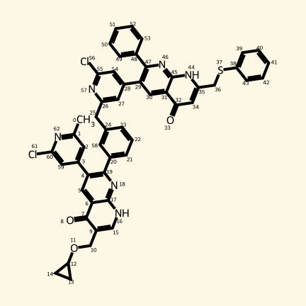 Cc1cc(-c2cc3c(=O)c(COC4CC4)c[nH]c3nc2-c2cccc(Cc3cc(-c4cc5c(=O)cc(CSc6ccccc6)[nH]c5nc4-c4ccccc4)cc(Cl)n3)c2)cc(Cl)n1